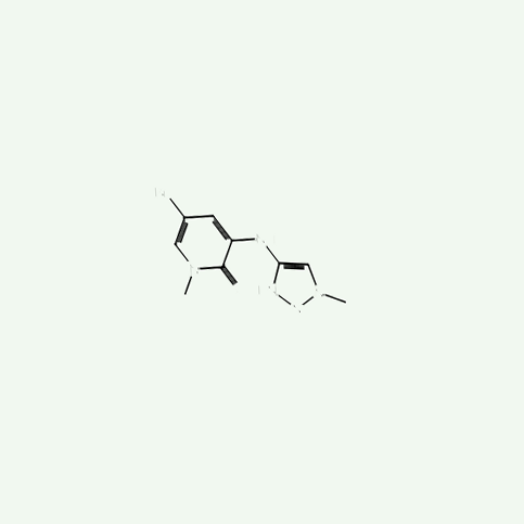 CN1C=C(Nc2cc(Br)cn(C)c2=O)NN1